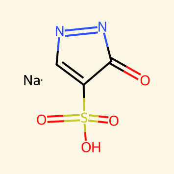 O=C1N=NC=C1S(=O)(=O)O.[Na]